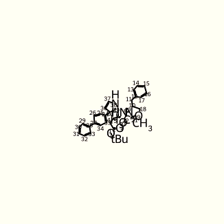 CC(C)(C)OC(=O)CC(C(=O)NN1C(Cc2ccccc2)COC1(C)C)[C@]1(c2ccc(-c3ccccc3)cc2)C=CNC1